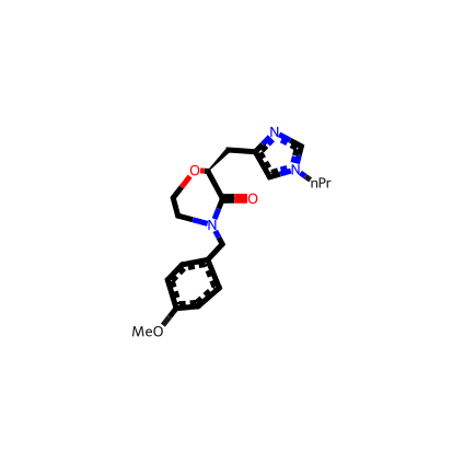 CCCn1cnc(C[C@@H]2OCCN(Cc3ccc(OC)cc3)C2=O)c1